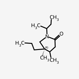 CCC[C@@]1(C)CN(C(C)CC)C(=O)CC1C